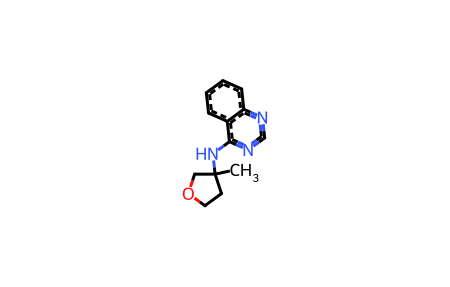 CC1(Nc2ncnc3ccccc23)CCOC1